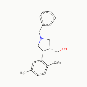 COc1ccc(C)cc1[C@@H]1CN(Cc2ccccc2)C[C@@H]1CO